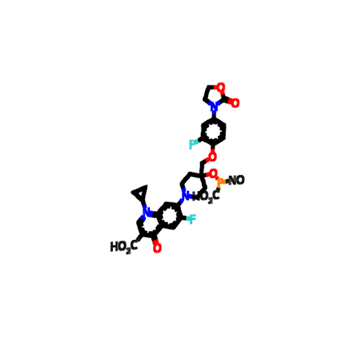 O=NP(OC1(COc2ccc(N3CCOC3=O)cc2F)CCN(c2cc3c(cc2F)c(=O)c(C(=O)O)cn3C2CC2)CC1)C(=O)O